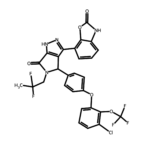 CC(F)(F)CN1C(=O)c2[nH]nc(-c3cccc4[nH]c(=O)oc34)c2C1c1ccc(Oc2cccc(Cl)c2OC(F)(F)F)cc1